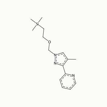 Cc1cn(COCC[Si](C)(C)C)nc1-c1ccccn1